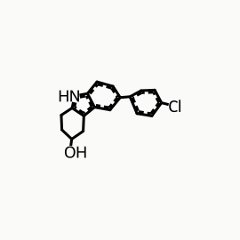 OC1CCc2[nH]c3ccc(-c4ccc(Cl)cc4)cc3c2C1